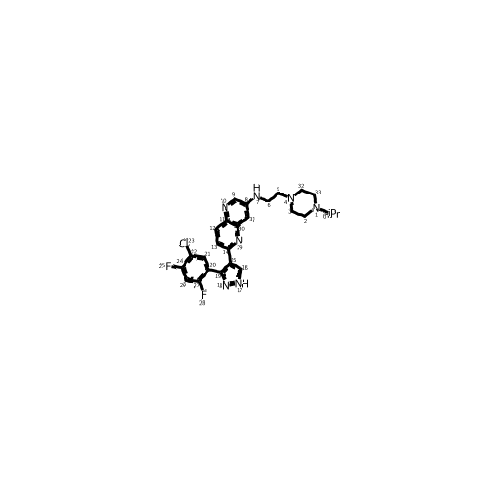 CC(C)N1CCN(CCNc2cnc3ccc(-c4c[nH]nc4-c4cc(Cl)c(F)cc4F)nc3c2)CC1